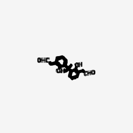 CC(C)(c1cccc(CC=O)c1O)c1cccc(CC=O)c1O